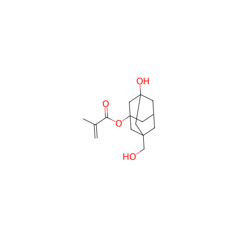 C=C(C)C(=O)OC12CC3CC(O)(CC(CO)(C3)C1)C2